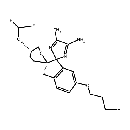 CC1=NC2(N=C1N)c1cc(OCCCF)ccc1C[C@]21CC[C@@H](OC(F)F)CC1